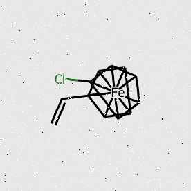 C=C[C]12[CH]3[CH]4[CH]5[CH]1[Fe]45321678[CH]2[CH]1[CH]6[C]7(Cl)[CH]28